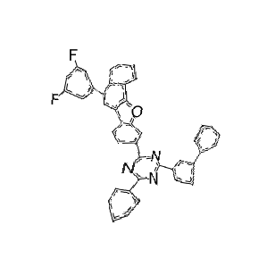 Fc1cc(F)cc(-c2cc3c4ccc(-c5nc(-c6ccccc6)nc(-c6cccc(-c7ccccc7)c6)n5)cc4oc3c3ccccc23)c1